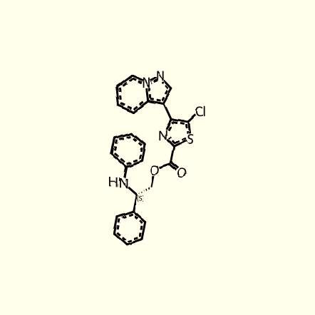 O=C(OC[C@@H](Nc1ccccc1)c1ccccc1)c1nc(-c2cnn3ccccc23)c(Cl)s1